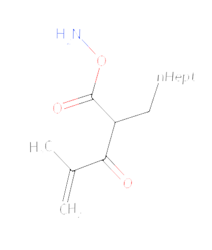 C=C(C)C(=O)C(CCCCCCCC)C(=O)ON